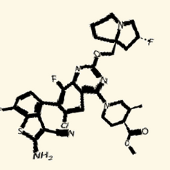 COC(=O)[C@H]1CCN(c2nc(OC[C@@]34CCCN3C[C@H](F)C4)nc3c(F)c(-c4ccc(F)c5sc(N)c(C#N)c45)c(Cl)cc23)C[C@H]1C